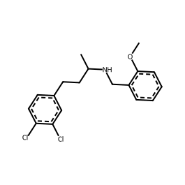 COc1ccccc1CNC(C)CCc1ccc(Cl)c(Cl)c1